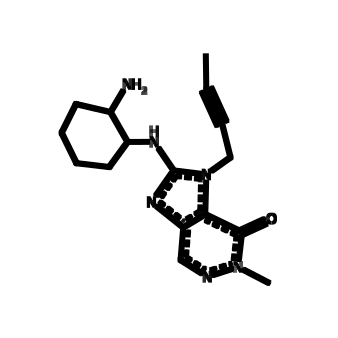 CC#CCn1c(NC2CCCCC2N)nc2cnn(C)c(=O)c21